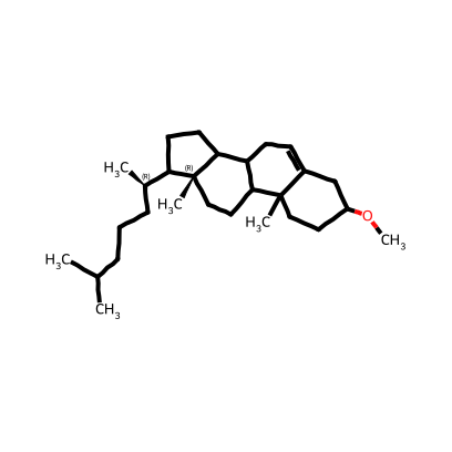 COC1CCC2(C)C(=CCC3C2CC[C@@]2(C)C3CCC2[C@H](C)CCCC(C)C)C1